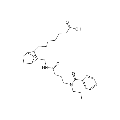 CCCN(CCCC(=O)NCC1C2CCC(O2)C1CCCCCCC(=O)O)C(=O)c1ccccc1